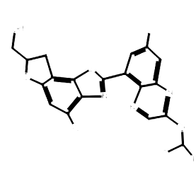 Cc1cc(-c2nc3c(Cl)cc4c(c3s2)CC(CO)O4)c2ncc(OC(F)F)nc2c1